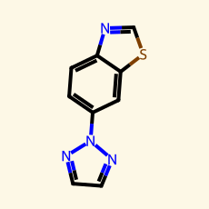 c1cnn(-c2ccc3ncsc3c2)n1